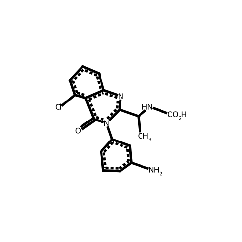 CC(NC(=O)O)c1nc2cccc(Cl)c2c(=O)n1-c1cccc(N)c1